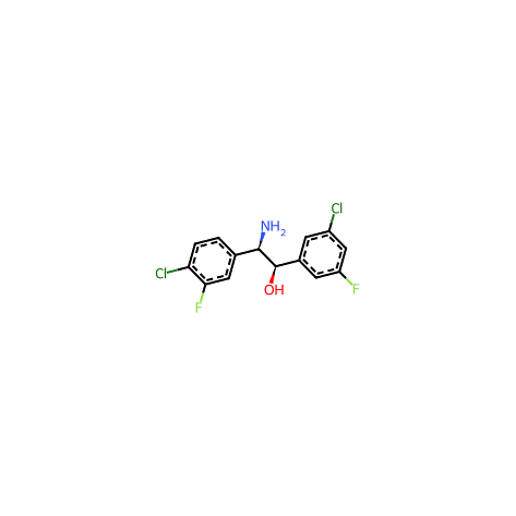 N[C@H](c1ccc(Cl)c(F)c1)[C@H](O)c1cc(F)cc(Cl)c1